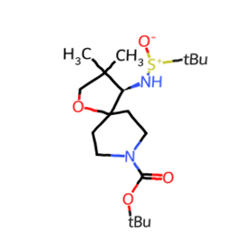 CC(C)(C)OC(=O)N1CCC2(CC1)OCC(C)(C)[C@H]2N[S+]([O-])C(C)(C)C